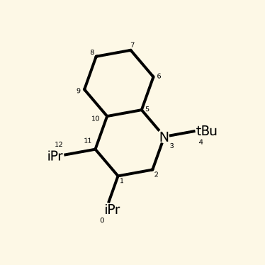 CC(C)C1CN(C(C)(C)C)C2CCCCC2C1C(C)C